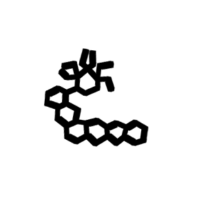 C=CC1(C=C)CCC(c2cccc3cc4ccc5cc6cc7ccccc7cc6cc5c4cc23)C(C=C)(C=C)C1(C=C)C=C